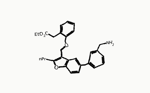 CCCc1oc2ccc(-c3cccc(CN)c3)cc2c1COc1ccccc1CC(=O)OCC